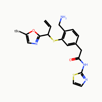 C=CC(Sc1cc(CC(=O)Nc2nccs2)ccc1CN)c1ncc(C(C)(C)C)o1